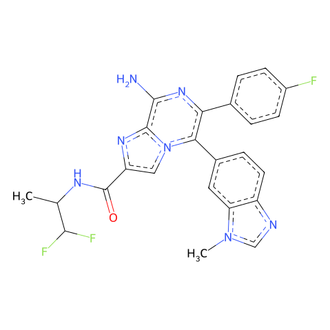 CC(NC(=O)c1cn2c(-c3ccc4ncn(C)c4c3)c(-c3ccc(F)cc3)nc(N)c2n1)C(F)F